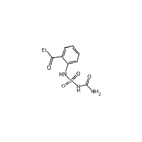 CCC(=O)c1ccccc1NS(=O)(=O)NC(N)=O